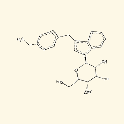 CCc1ccc(Cc2cn([C@@H]3OC(CO)[C@@H](O)C(O)[C@H]3O)c3ccccc23)cc1